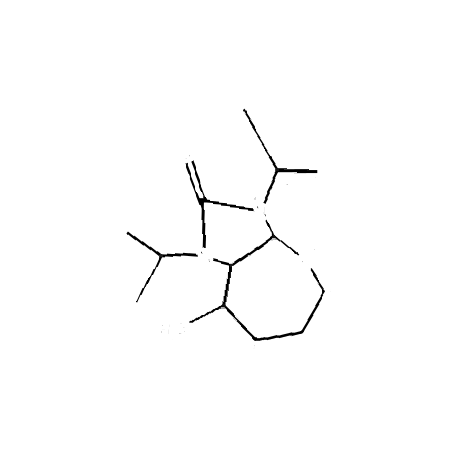 BC1CCCCC2C1N(C(C)C)C(=S)N2C(C)C